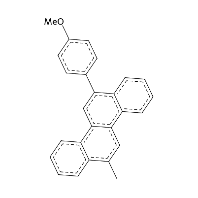 COc1ccc(-c2cc3c4ccccc4c(C)cc3c3ccccc23)cc1